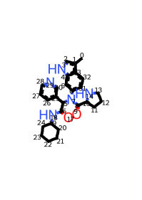 Cc1c[nH]c2cc(N(C(=O)C3CCCN3)C(C(=O)NC3CCCCC3)c3cccnc3)ccc12